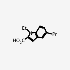 CCn1c(C(=O)O)cc2cc(C(C)C)ccc21